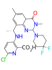 CC1=CC2C(=O)N(C)C(N3CCC(F)(F)CC3)N=C2C([C@@H](C)Nc2ccc(Cl)nc2C(=O)O)=C1